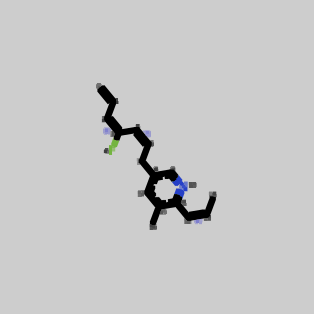 C=C/C=C(F)\C=C/Cc1cnc(/C=C\C)c(C)c1